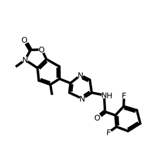 Cc1cc2c(cc1-c1cnc(NC(=O)c3c(F)cccc3F)cn1)oc(=O)n2C